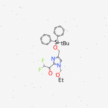 CCOCn1cc(CO[Si](c2ccccc2)(c2ccccc2)C(C)(C)C)nc1C(=O)C(F)F